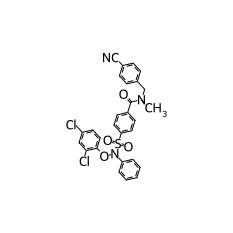 CN(Cc1ccc(C#N)cc1)C(=O)c1ccc(S(=O)(=O)N(Oc2ccc(Cl)cc2Cl)c2ccccc2)cc1